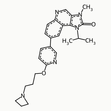 CC(C)n1c(=O)n(C)c2cnc3ccc(-c4ccc(OCCCN5CCC5)nc4)cc3c21